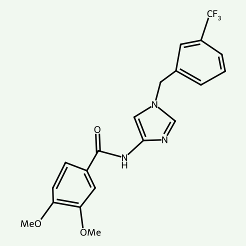 COc1ccc(C(=O)Nc2cn(Cc3cccc(C(F)(F)F)c3)cn2)cc1OC